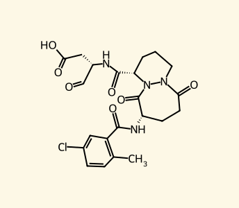 Cc1ccc(Cl)cc1C(=O)N[C@H]1CCC(=O)N2CCC[C@@H](C(=O)N[C@H](C=O)CC(=O)O)N2C1=O